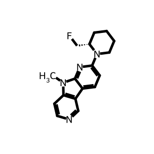 Cn1c2ccncc2c2ccc(N3CCCC[C@H]3CF)nc21